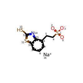 O=S(=O)([O-])CCc1cccc2sc(S)nc12.[Na+]